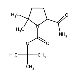 CC(C)(C)OC(=O)N1C(C(N)=O)CCC1(C)C